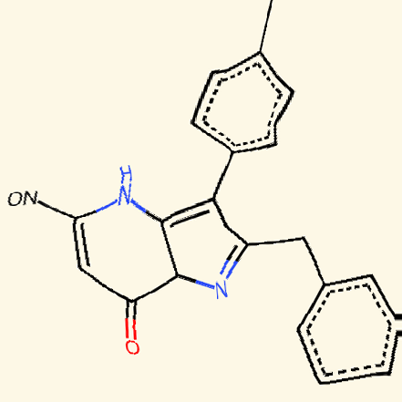 Cc1ccc(C2=C3NC(N=O)=CC(=O)C3N=C2Cc2ccccc2)cc1